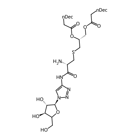 CCCCCCCCCCCC(=O)OC[C@H](CSC[C@@H](N)C(=O)Nc1cn([C@H]2OC(CO)[C@@H](O)[C@@H]2O)nn1)OC(=O)CCCCCCCCCCC